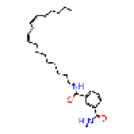 CCCCC/C=C\C/C=C\CCCCCCCCNC(=O)c1cccc(C(N)=O)c1